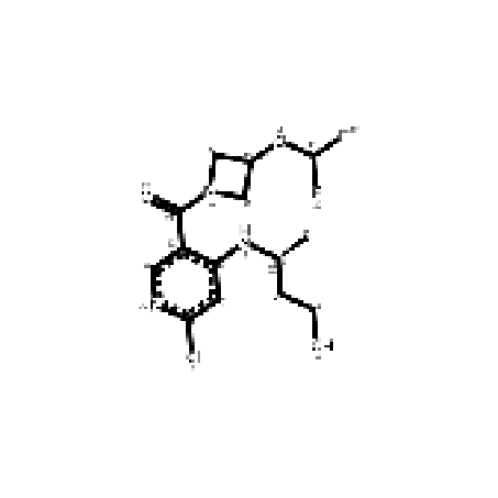 C[C@@H](CCO)Nc1cc(Cl)ncc1C(=O)N1CC(OC(F)F)C1